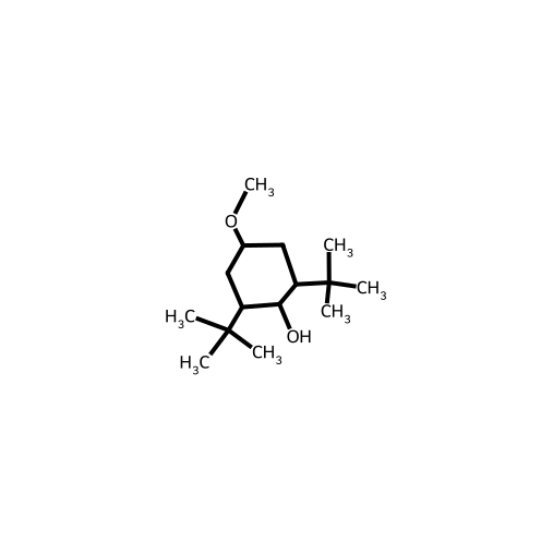 COC1CC(C(C)(C)C)C(O)C(C(C)(C)C)C1